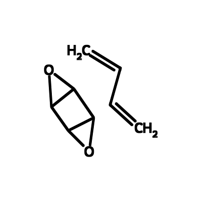 C=CC=C.O1C2C1C1OC21